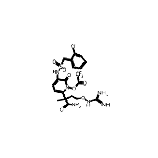 CC(CCONC(=N)N)(C(N)=O)c1ccc(NS(=O)(=O)Cc2ccccc2Cl)c(=O)n1OC(=O)C(F)(F)F